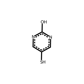 Oc1ncc(S)cn1